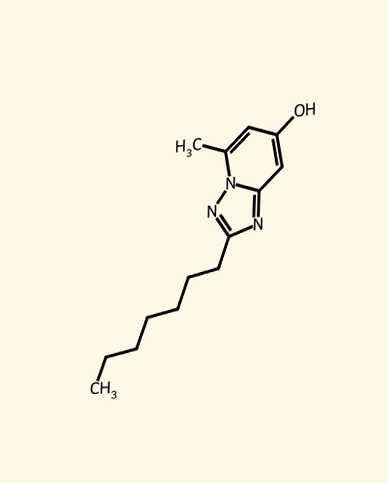 CCCCCCCc1nc2cc(O)cc(C)n2n1